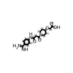 N=C(N)c1ccc(NC(=O)CC(=O)N2CCC(OCC(=O)O)CC2)cc1